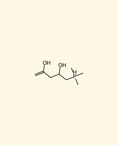 C=C(O)CC(O)C[PH](C)(C)C